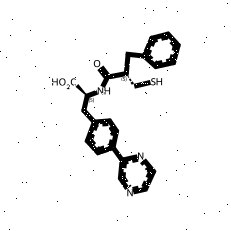 O=C(N[C@@H](Cc1ccc(-c2cnccn2)cc1)C(=O)O)[C@@H](CS)Cc1ccccc1